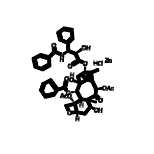 CC(=O)O[C@H]1C(=O)[C@@]2(C)[C@H]([C@H](OC(=O)c3ccccc3)[C@]3(O)C[C@H](OC(=O)[C@H](O)[C@@H](NC(=O)c4ccccc4)c4ccccc4)C(C)=C1C3(C)C)[C@]1(OC(C)=O)CO[C@@H]1C[C@@H]2O.Cl.[Zn]